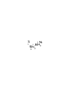 B.[AlH3].[Ni].[Ti]